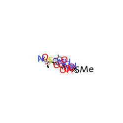 C#C/C=C\C#C[C@H](OC1CC(O)[C@H](NOC2CC[C@H](SC)C(C)O2)C(C)O1)C1=C(N)C(=O)CC(C)/C1=C/CSSC(C)(C)CC(=O)N(C)C